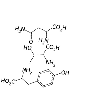 CC(O)C(N)C(=O)O.NC(=O)CC(N)C(=O)O.NC(Cc1ccc(O)cc1)C(=O)O